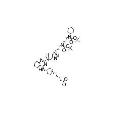 COC(=O)CCCCN1CCC(Nc2nc(NCc3cn(CCCN(CCCN(C(=O)OC(C)(C)C)C4CCCCC4)C(=O)OC(C)(C)C)nn3)nc3ccccc23)CC1